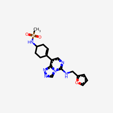 CS(=O)(=O)NC1CC=C(c2cnc(NCc3ccco3)n3cnnc23)CC1